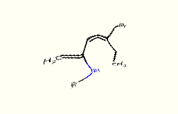 C=C(/C=C(\C)C(C)C)NC(C)C